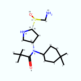 CC1(C)CCC(N(C(=O)C(C)(C)C)[C@@H]2CN[C@H]([S+]([O-])CN)C2)CC1